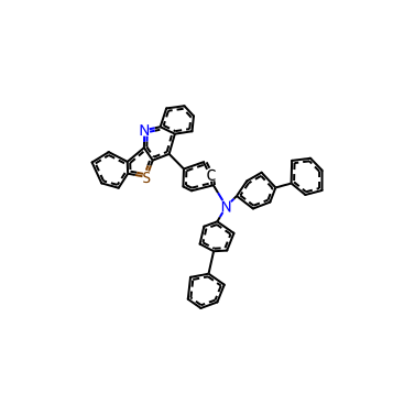 c1ccc(-c2ccc(N(c3ccc(-c4ccccc4)cc3)c3ccc(-c4c5ccccc5nc5c4sc4ccccc45)cc3)cc2)cc1